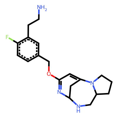 NCCc1cc(COC2=NC3CC(=C2)N2CCCC2CN3)ccc1F